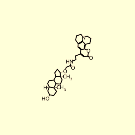 C[C@]12CCC3C(CC[C@H]4C[C@H](O)CC[C@]34C)C1CC[C@@H]2OCC(=O)NCCc1cc(=O)oc2c3c4c(cc12)CCCN4CCC3